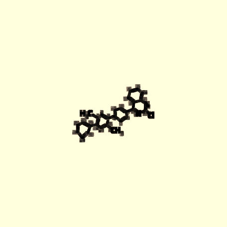 Cc1cc(-c2ccc(-c3nc(Cl)nc4ccccc34)cc2)c(C)cc1-c1ccccc1